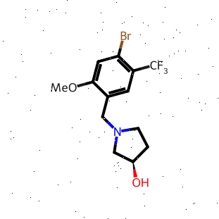 COc1cc(Br)c(C(F)(F)F)cc1CN1CC[C@@H](O)C1